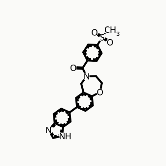 CS(=O)(=O)c1ccc(C(=O)N2CCOc3ccc(-c4ccc5nc[nH]c5c4)cc3C2)cc1